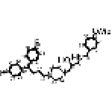 COc1ccc(CNCC(O)CN2CCN(CCCC(c3ccc(F)cc3)c3ccc(F)cc3)CC2)cc1